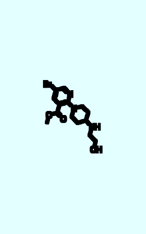 COC(=O)c1cc(Br)cnc1N1CCC(NCCO)CC1